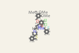 COc1cc(COC[C@](CCCN2CCC3(CC2)SCc2ccccc23)(c2ccc(Cl)c(Cl)c2)N(C)C(=O)NCc2ccccc2F)cc(OC)c1OC